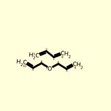 C=CC=C.C=CCOCC=C